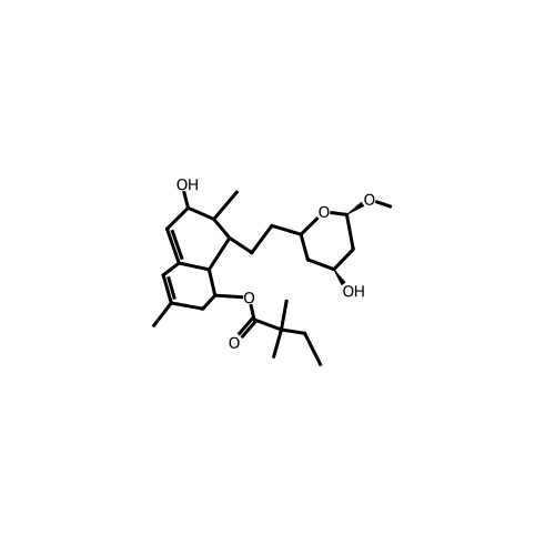 CCC(C)(C)C(=O)OC1CC(C)=CC2=CC(O)C(C)C(CCC3C[C@H](O)C[C@H](OC)O3)C21